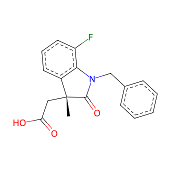 C[C@]1(CC(=O)O)C(=O)N(Cc2ccccc2)c2c(F)cccc21